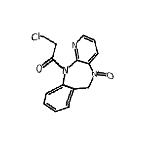 O=C(CCl)N1c2ccccc2C[N+](=O)c2cccnc21